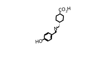 O=C(O)[C@H]1CC[C@H](CN=Cc2ccc(O)cc2)CC1